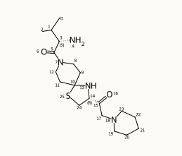 CC(C)[C@H](N)C(=O)N1CCC2(CC1)N[C@H](C(=O)CN1CCCCC1)CS2